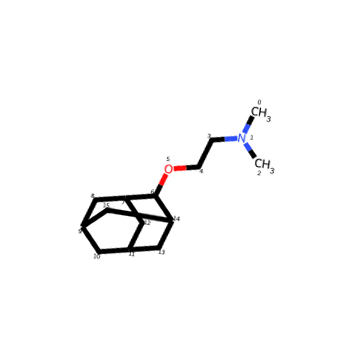 CN(C)CCOC1C2CC3CC(C2)CC1C3